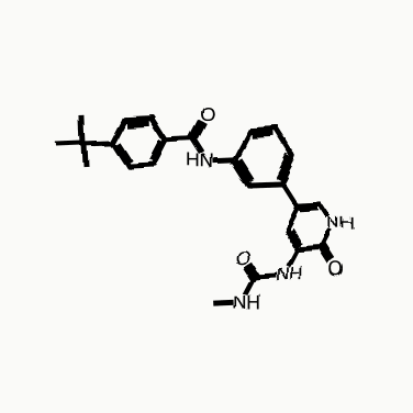 CNC(=O)Nc1cc(-c2cccc(NC(=O)c3ccc(C(C)(C)C)cc3)c2)c[nH]c1=O